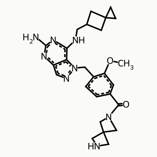 COc1cc(C(=O)N2CC3(CNC3)C2)ccc1Cn1ncc2nc(N)nc(NCC3CC4(CC4)C3)c21